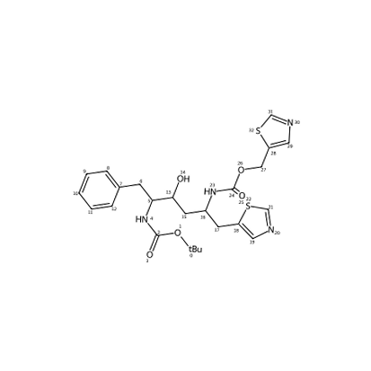 CC(C)(C)OC(=O)NC(Cc1ccccc1)C(O)CC(Cc1cncs1)NC(=O)OCc1cncs1